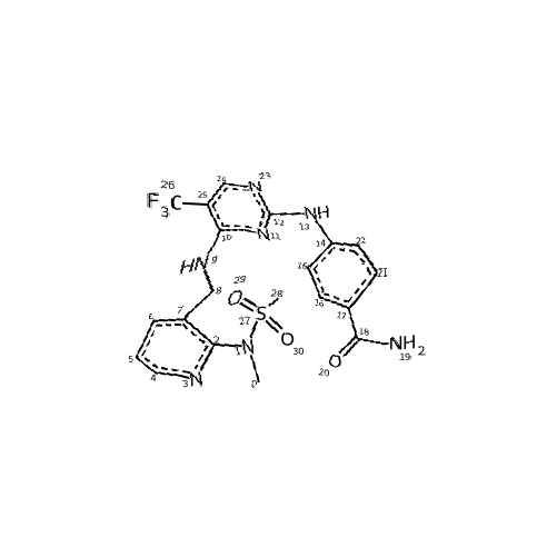 CN(c1ncccc1CNc1nc(Nc2ccc(C(N)=O)cc2)ncc1C(F)(F)F)S(C)(=O)=O